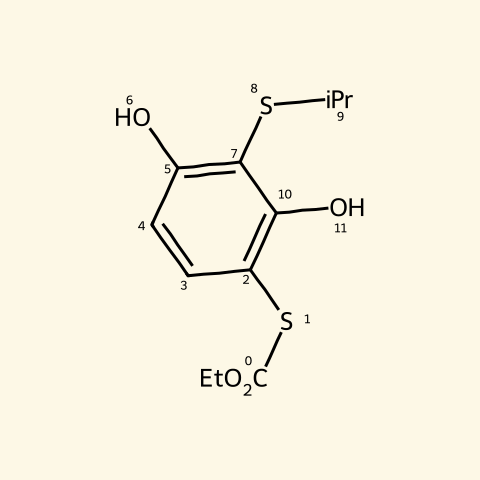 CCOC(=O)Sc1ccc(O)c(SC(C)C)c1O